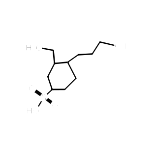 CCCCC1CCC(S(=O)(=O)O)CC1CC